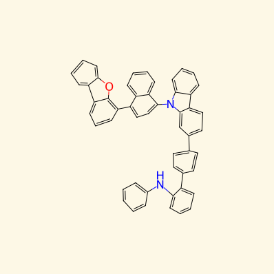 c1ccc(Nc2ccccc2-c2ccc(-c3ccc4c5ccccc5n(-c5ccc(-c6cccc7c6oc6ccccc67)c6ccccc56)c4c3)cc2)cc1